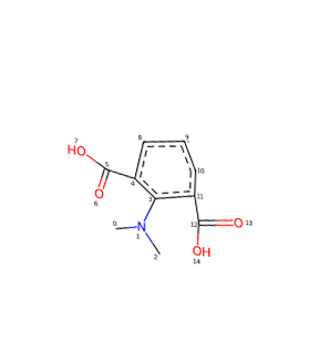 CN(C)c1c(C(=O)O)c[c]cc1C(=O)O